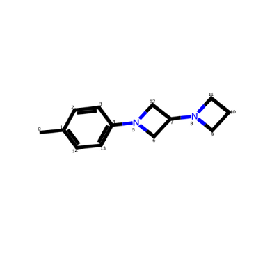 Cc1ccc(N2CC(N3CCC3)C2)cc1